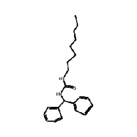 CCCCCCCCNC(=S)NC(c1ccccc1)c1ccccc1